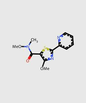 COc1nc(-c2ccccn2)sc1C(=O)N(C)OC